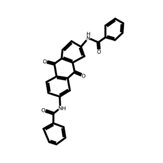 O=C(Nc1ccc2c(c1)C(=O)c1cc(NC(=O)c3ccccc3)ccc1C2=O)c1ccccc1